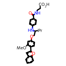 COc1cc(OCC(Nc2ccc(C(=O)NCCC(=O)O)cc2)C(C)C)ccc1-c1cc2ccccc2o1